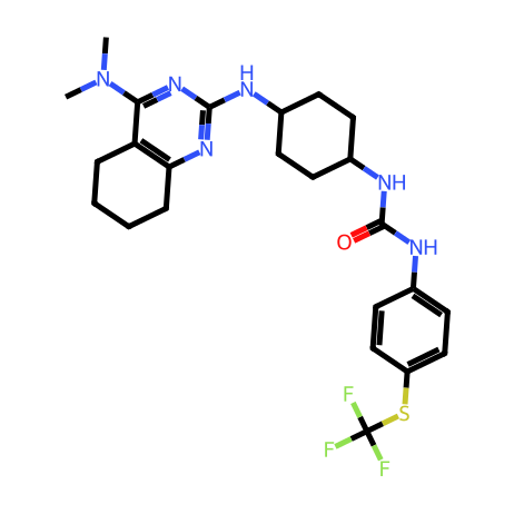 CN(C)c1nc(NC2CCC(NC(=O)Nc3ccc(SC(F)(F)F)cc3)CC2)nc2c1CCCC2